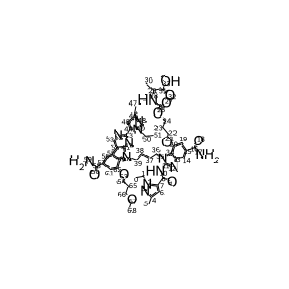 CCn1nc(C)cc1C(=O)Nc1nc2cc(C(N)=O)cc(OCCCOC(=O)NC(C)C(=O)O)c2n1CC=CCn1c2nc(-c3cc(C)nn3CC)ncc2c2cc(C(N)=O)cc(OCCCOC)c21